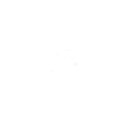 O=C(OCc1ccccc1)O[C@@H]1C(O)S[C@H](COC(=O)c2ccccc2)[C@@H]1OC(=O)c1ccccc1